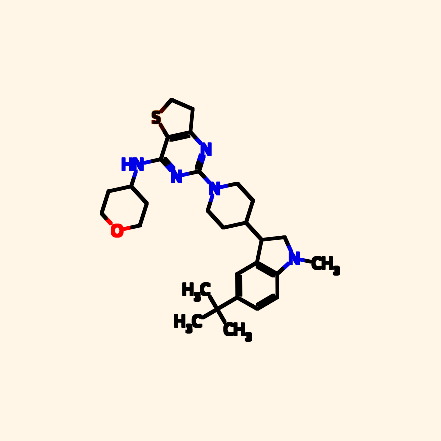 CN1CC(C2CCN(c3nc4c(c(NC5CCOCC5)n3)SCC4)CC2)c2cc(C(C)(C)C)ccc21